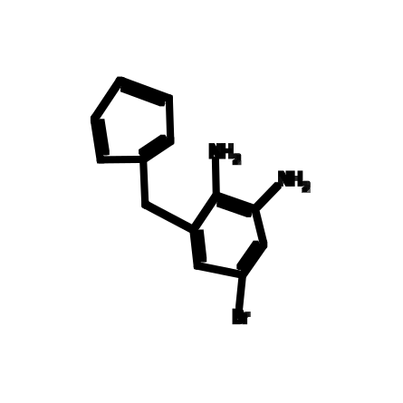 Nc1cc(Br)cc(Cc2ccccc2)c1N